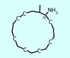 CC1CCCCCCCCCCCCCCC[C@@H]1N